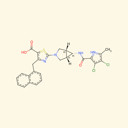 Cc1[nH]c(C(=O)N[C@@H]2[C@@H]3CN(c4nc(Cc5cccc6ccccc56)c(C(=O)O)s4)C[C@@H]32)c(Cl)c1Cl